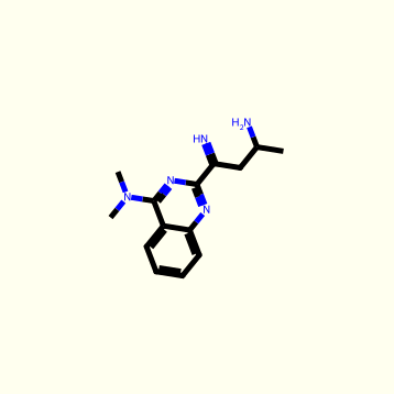 CC(N)CC(=N)c1nc(N(C)C)c2ccccc2n1